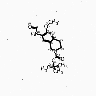 COc1nc2c(cc1NC=O)CN(C(=O)OC(C)(C)C)CC2